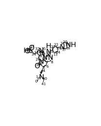 CCN(C#Cc1cc2cnc(Nc3ccc(N4CCNCC4)cc3)nc2n(Cc2nn(C)cc2C[SH](=O)=O)c1=O)CC